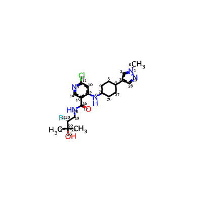 Cn1cc(C2CCC(Nc3cc(Cl)ncc3C(=O)NC[C@@H](F)C(C)(C)O)CC2)cn1